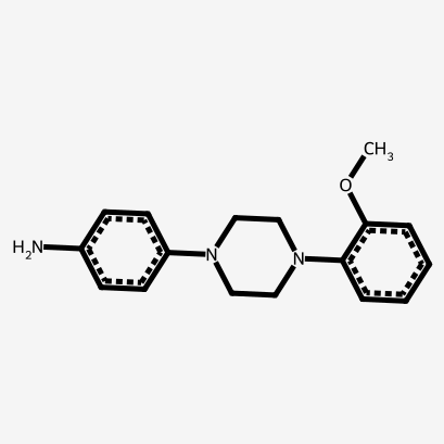 COc1ccccc1N1CCN(c2ccc(N)cc2)CC1